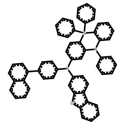 c1ccc(N2c3ccccc3[Si](c3ccccc3)(c3ccccc3)c3ccc(N(c4ccc(-c5cccc6ccccc56)cc4)c4ccc5c(c4)oc4ccccc45)cc32)cc1